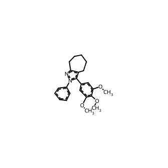 COc1cc(-c2c3c(nn2-c2ccccc2)CCCCC3)cc(OC)c1OC